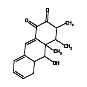 CC1C(=O)C(=O)C2=CC3=CC=CCC3C(O)C2(C)C1C